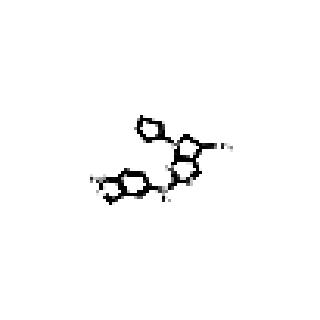 CC1CN(C2CCCC2)c2nc(Nc3ccc4[nH]ncc4c3)ncc21